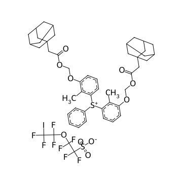 Cc1c(OCOC(=O)CC23CC4CC(CC(C4)C2)C3)cccc1[S+](c1ccccc1)c1cccc(OCOC(=O)CC23CC4CC(CC(C4)C2)C3)c1C.O=S(=O)([O-])C(F)(F)C(F)(F)OC(F)(F)C(F)(F)I